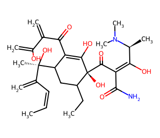 C=C(O)C(=C)C(=O)C1=C(O)[C@](O)(C(=O)/C(C(N)=O)=C(/O)[C@H](C)N(C)C)C(CC)CC1[C@](C)(O)C(=C)/C=C\C